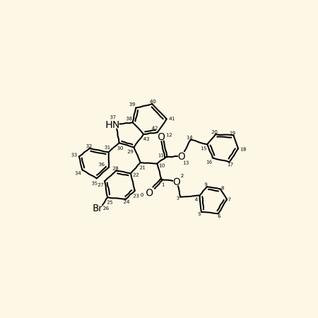 O=C(OCc1ccccc1)C(C(=O)OCc1ccccc1)C(c1ccc(Br)cc1)c1c(-c2ccccc2)[nH]c2ccccc12